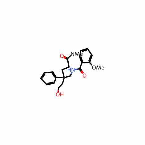 CNC(=O)CCC(CCO)(CNC(=O)c1ccccc1OC)c1ccccc1